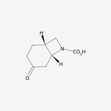 O=C1CC[C@@H]2CN(C(=O)O)[C@@H]2C1